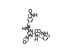 NC(=O)C(Cc1ccccc1)NC(=O)c1nc(N/N=C/c2ccc3c(c2)CC(=O)N3)cc(N2CCOCC2)n1